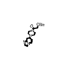 COCC(=O)N1CCN(c2ccn3ccnc3c2)CC1